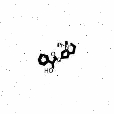 CC(C)[N@+]1(C)CCCC2C[C@@H](OC(=O)C(CO)c3ccccc3)CC21